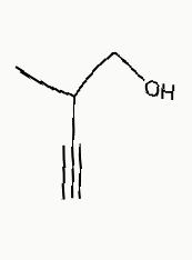 C#CC(C)CO